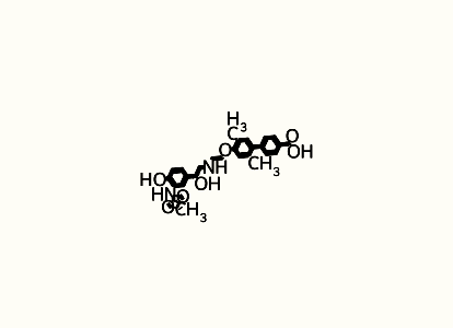 Cc1cc(-c2ccc(C(=O)O)cc2)c(C)cc1OCCNC[C@@H](O)c1ccc(O)c(NS(C)(=O)=O)c1